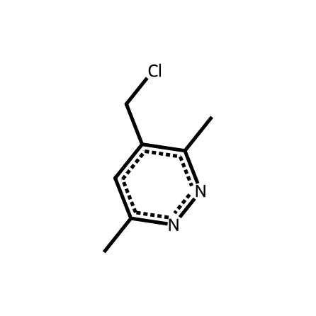 Cc1cc(CCl)c(C)nn1